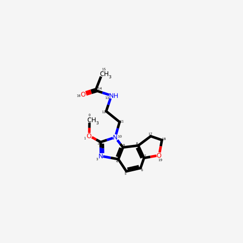 COc1nc2ccc3c(c2n1CCNC(C)=O)CCO3